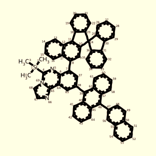 C[Si](C)(C)c1nc2c(-c3cc4c(c5ccccc35)-c3ccccc3C43c4ccccc4-c4ccccc43)cc(-c3c4ccccc4c(-c4ccc5ccccc5c4)c4ccccc34)cc2c2nccn12